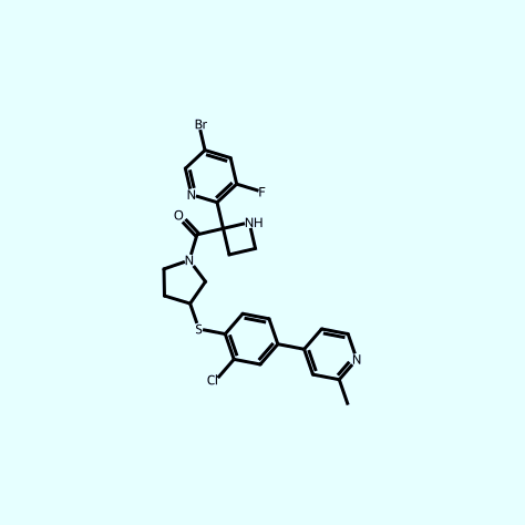 Cc1cc(-c2ccc(SC3CCN(C(=O)C4(c5ncc(Br)cc5F)CCN4)C3)c(Cl)c2)ccn1